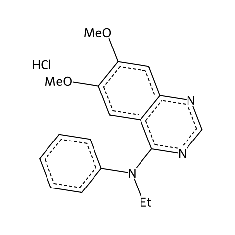 CCN(c1ccccc1)c1ncnc2cc(OC)c(OC)cc12.Cl